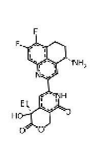 CC[C@@]1(O)C(=O)OCc2c1cc(-c1cc3c4c(c(F)c(F)cc4n1)CC[C@@H]3N)[nH]c2=O